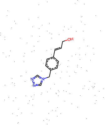 OC/C=C/c1ccc(Cn2cnnc2)cc1